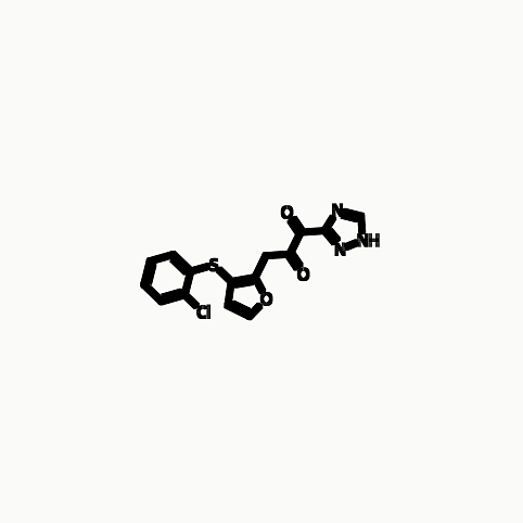 O=C(Cc1occc1Sc1ccccc1Cl)C(=O)c1nc[nH]n1